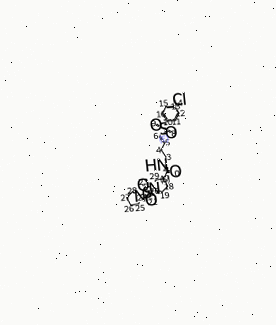 O=C(NCC/C=C/S(=O)(=O)c1ccc(Cl)cc1)[C@H]1CCN(S(=O)(=O)N2CCCC2)C1